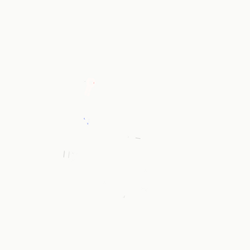 Cc1ccccc1C(C)CN=C=O